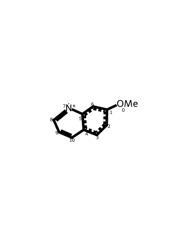 COc1ccc2c(c1)[N+]=CC=C2